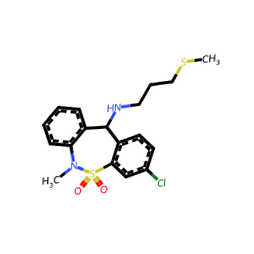 CSCCCNC1c2ccccc2N(C)S(=O)(=O)c2cc(Cl)ccc21